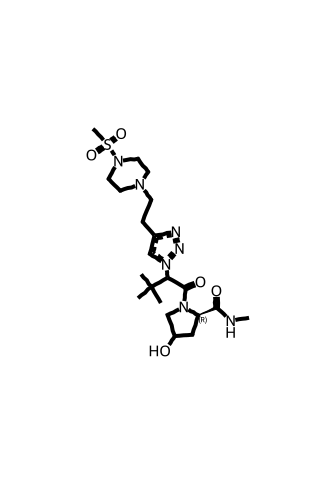 CNC(=O)[C@H]1CC(O)CN1C(=O)C(n1cc(CCN2CCN(S(C)(=O)=O)CC2)nn1)C(C)(C)C